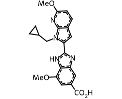 COc1ccc2cc(-c3nc4cc(C(=O)O)cc(OC)c4[nH]3)n(CC3CC3)c2n1